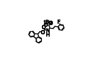 CC(C)(C)OC(=O)C(CCc1ccccc1F)NC(=O)OCC1c2ccccc2-c2ccccc21